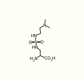 CN(C)CCNS(=O)(=O)NCC(N)C(=O)O